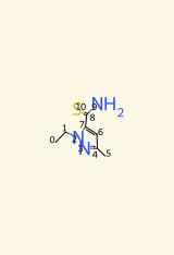 CCn1nc(C)cc1C(N)=S